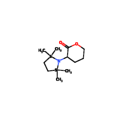 C[Si]1(C)CC[Si](C)(C)N1C1CCCOC1=O